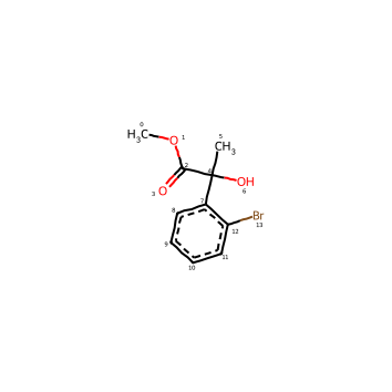 COC(=O)C(C)(O)c1ccccc1Br